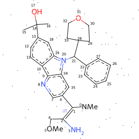 CN/C(=C(\N)COC)c1cnc2c3ccc(C(C)(C)O)cc3n(C(c3ccccc3)C3CCOCC3)c2c1